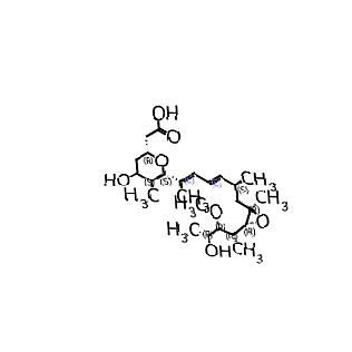 CO[C@H]([C@@H](C)[C@H]1O[C@]1(C)C[C@H](C)/C=C/C=C(\C)[C@H]1O[C@@H](CC(=O)O)CC(O)[C@@H]1C)[C@@H](C)O